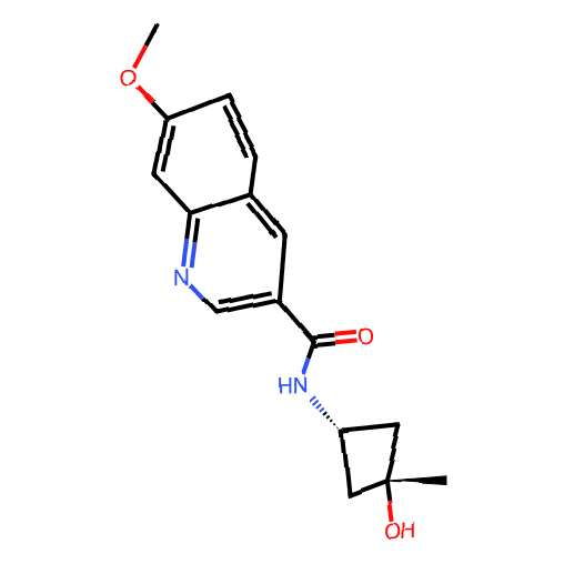 COc1ccc2cc(C(=O)N[C@H]3C[C@@](C)(O)C3)cnc2c1